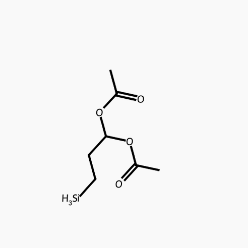 CC(=O)OC(CC[SiH3])OC(C)=O